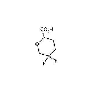 O=C(O)[C@@H]1CCC(F)(F)CO1